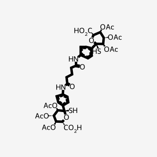 CC(=O)O[C@H]1[C@H](OC(C)=O)[C@@H](OC(C)=O)[C@](S)(c2ccc(NC(=O)CCCC(=O)Nc3ccc([C@]4(S)O[C@H](C(=O)O)[C@@H](OC(C)=O)[C@H](OC(C)=O)[C@H]4OC(C)=O)cc3)cc2)O[C@@H]1C(=O)O